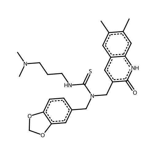 Cc1cc2cc(CN(Cc3ccc4c(c3)OCO4)C(=S)NCCCN(C)C)c(=O)[nH]c2cc1C